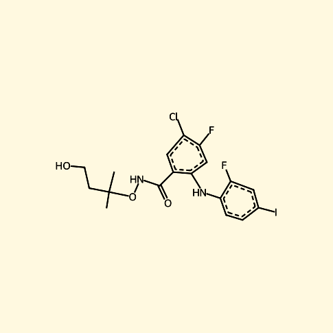 CC(C)(CCO)ONC(=O)c1cc(Cl)c(F)cc1Nc1ccc(I)cc1F